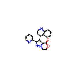 O=c1occn2nc(-c3ccccn3)c(-c3ccnc4ccccc34)c12